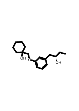 CC[C@H](O)Cc1cccc(OCC2(O)CCCCC2)c1